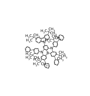 CC(C)(C)c1ccc2c(c1)c1cc(C(C)(C)C)ccc1n2-c1cc2c3c(c1)N(c1ccc(-c4ccccc4)c(C(C)(C)C)c1)c1cc(C(C)(C)C)c(-c4ccccc4)cc1B3c1cc(-c3ccccc3)c(C(C)(C)C)cc1N2c1ccc(-c2ccccc2)c(C(C)(C)C)c1